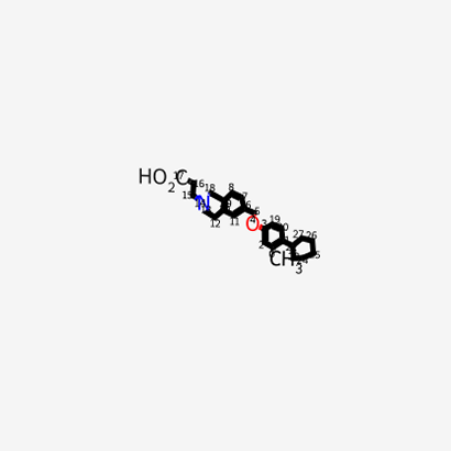 Cc1cc(OCc2ccc3c(c2)CCN(CCC(=O)O)C3)ccc1C1CCCCC1